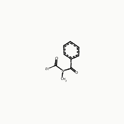 CCC(=O)N(C)C(=O)c1ccccc1